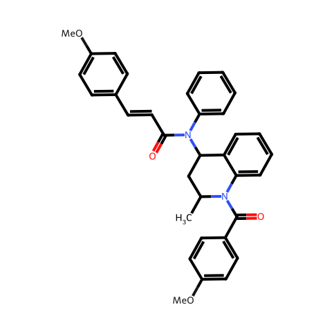 COc1ccc(C=CC(=O)N(c2ccccc2)C2CC(C)N(C(=O)c3ccc(OC)cc3)c3ccccc32)cc1